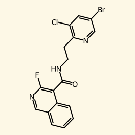 O=C(NCCc1ncc(Br)cc1Cl)c1c(F)ncc2ccccc12